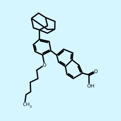 CCCCCCOc1ccc(C23CC4CC(CC(C4)C2)C3)cc1-c1ccc2cc(C(=O)O)ccc2c1